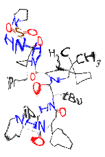 CC(C)C[C@@H]1C[C@]1(NC(=O)[C@@H]1C[C@@]2(CN1C(=O)[C@@H](NC(=O)[C@@H](NC(=O)[C@@H]1CCCCN1C(C)C)C1CCCCC1)C(C)(C)C)C(C)(C)C21CCC1)C(=O)NS(=O)(=O)N1CCCC1